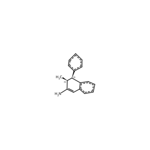 C[C@@H]1C(N)=Cc2ccccc2[C@@H]1c1ccccc1